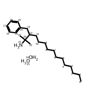 CCCCCCCCCCCCC(Cc1ccccc1)C(C)(C)N.O.O